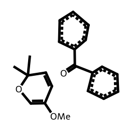 COC1=COC(C)(C)C=C1.O=C(c1ccccc1)c1ccccc1